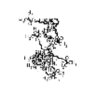 C=C(C)C(=O)OCCCCC[Si]1(C)O[Si](C)(CC[SiH](C)O[SiH2]O[SiH](C)CC[Si]2(C)O[Si](C)(CCCCCOC(=O)C(=C)C)O[Si]3(C)CCCC[Si](CCCCOC(=O)C(=C)C)(O3)O2)O[SiH](CCCCOC(=O)C(=C)C)O[Si](C)(CC[Si](C)(C)O[Si](C)(C)O[Si](C)(C)CC[Si]2(C)O[SiH]3CC[Si](C)(C)O[Si](C)(C)CC[Si](C)(O3)O[Si](C)(C)O2)O1